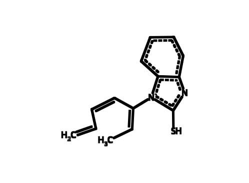 C=C/C=C\C(=C/C)n1c(S)nc2ccccc21